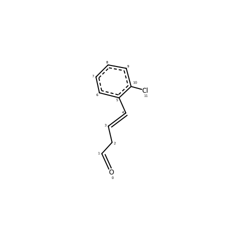 O=CC/C=C/c1ccccc1Cl